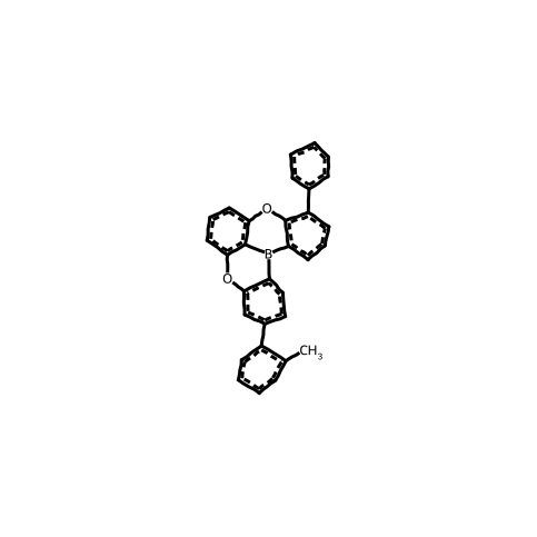 Cc1ccccc1-c1ccc2c(c1)Oc1cccc3c1B2c1cccc(-c2ccccc2)c1O3